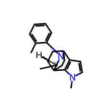 Cc1ccccc1N1[C@@H](C)C23CCC1(CC2)c1ccn(C)c13